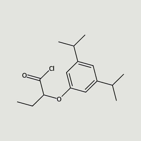 CCC(Oc1cc(C(C)C)cc(C(C)C)c1)C(=O)Cl